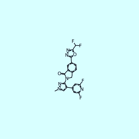 Cn1cc(-c2cc(F)nc(F)c2)c(N2Cc3ccc(-c4nnc(C(F)F)o4)cc3C2=O)n1